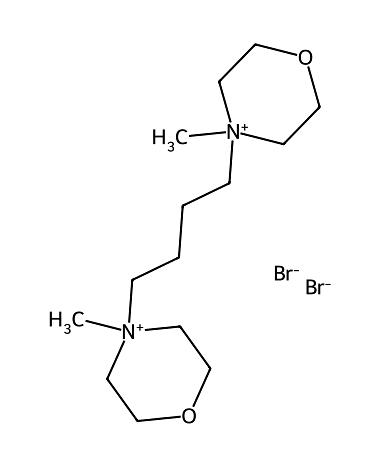 C[N+]1(CCCC[N+]2(C)CCOCC2)CCOCC1.[Br-].[Br-]